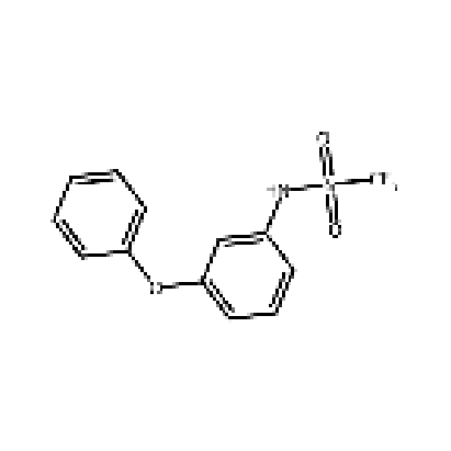 O=S(=O)(Nc1cccc(Oc2ccccc2)c1)C(F)(F)F